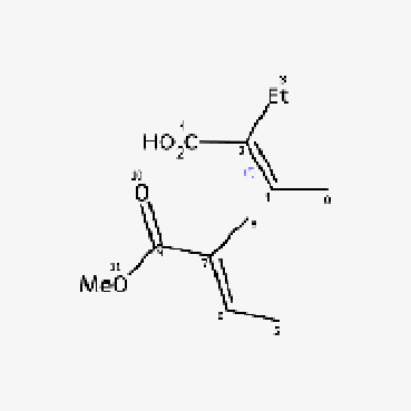 C/C=C(\CC)C(=O)O.CC=C(C)C(=O)OC